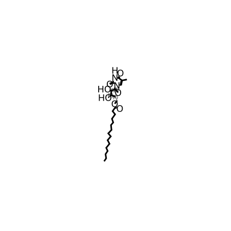 CCCCCCCCCCCCCCCC(=O)OC[C@H]1O[C@@H](n2cc(C)c(=O)[nH]c2=O)[C@@H](O)[C@@H]1O